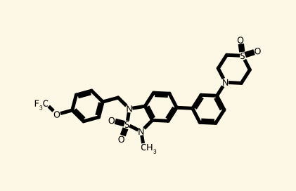 CN1c2cc(-c3cccc(N4CCS(=O)(=O)CC4)c3)ccc2N(Cc2ccc(OC(F)(F)F)cc2)S1(=O)=O